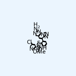 COc1ncc(Cl)cc1S(=O)(=O)Nc1cccc(-c2cc3cnc(N)nc3n3cnnc23)c1F